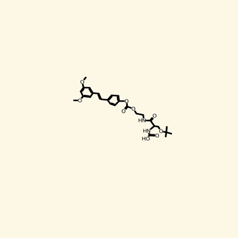 COc1cc(C=Cc2ccc(OC(=O)OCCNC(=O)C(COC(C)(C)C)NC(=O)O)cc2)cc(OC)c1